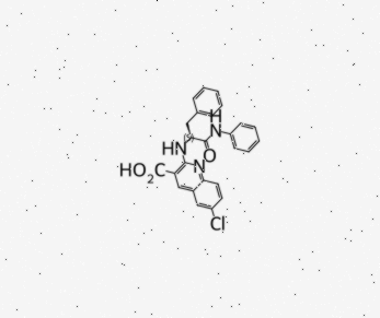 O=C(O)c1cc2cc(Cl)ccc2nc1N[C@@H](Cc1ccccc1)C(=O)Nc1ccccc1